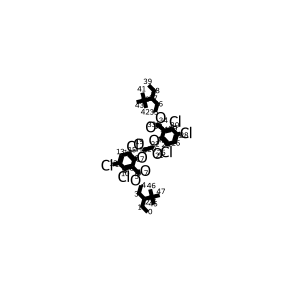 CCC(CCOC(=O)c1c(Cl)c(Cl)cc(Cl)c1OC(=O)C(=O)Oc1c(Cl)cc(Cl)c(Cl)c1C(=O)OCCC(CC)C(C)(C)C)C(C)(C)C